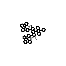 CN1c2ccccc2C(c2ccccc2)(c2ccccc2)c2cccc(-c3cccc4c(-c5c6ccccc6c(-c6ccccc6)c6ccccc56)c5cccc(-c6cccc7c6N(C)c6ccccc6C7(c6ccccc6)c6ccccc6)c5cc34)c21